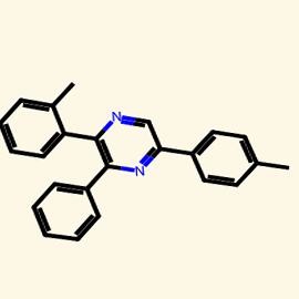 Cc1ccc(-c2cnc(-c3ccccc3C)c(-c3ccccc3)n2)cc1